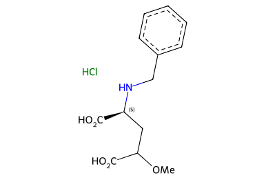 COC(C[C@H](NCc1ccccc1)C(=O)O)C(=O)O.Cl